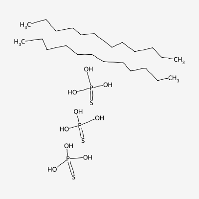 CCCCCCCCCCCC.CCCCCCCCCCCC.OP(O)(O)=S.OP(O)(O)=S.OP(O)(O)=S